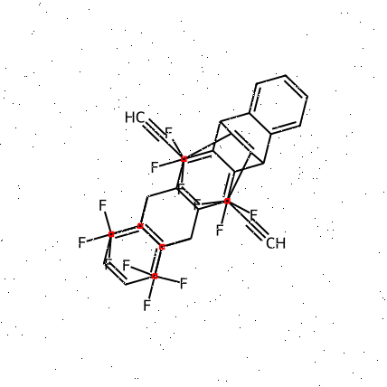 C#Cc1c2c(c(C#C)c3c1C1C(C(F)(F)F)=C(C(F)(F)F)C3c3ccccc31)C1C(C(F)(F)F)=C(C(F)(F)F)C2c2ccccc21